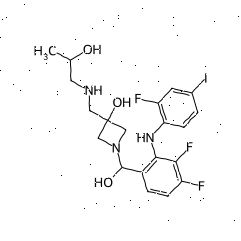 CC(O)CNCC1(O)CN(C(O)c2ccc(F)c(F)c2Nc2ccc(I)cc2F)C1